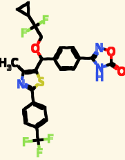 Cc1nc(-c2ccc(C(F)(F)F)cc2)sc1C(OCC(F)(F)C1CC1)c1ccc(-c2noc(=O)[nH]2)cc1